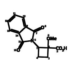 COC1(C(=O)O)CCC1N1C(=O)c2ccccc2C1=O